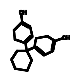 OC1=CC=C(C2(C3=CC=C(O)CC3)CCCCC2)CC1